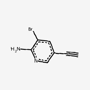 C#Cc1cnc(N)c(Br)c1